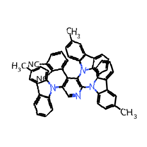 Cc1ccc2c(c1)c1ccccc1n2-c1cnc(-n2c3ccccc3c3cc(C)ccc32)c(-n2c3ccccc3c3cc(C)ccc32)c1-c1cccc(C#N)c1C#N